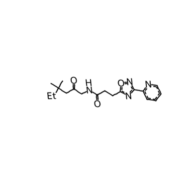 CCC(C)(C)CC(=O)CNC(=O)CCc1nc(-c2ccccn2)no1